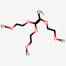 CCOCCOC(C)=C(OCCOCC)OCCOCC